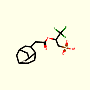 O=C(CC1CC2CC3CCC1C(C3)C2)OC(CS(=O)(=O)O)C(F)(F)F